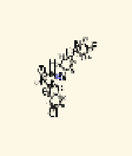 Cn1c(=O)[nH]/c(=N\c2ccc(Oc3ccc(F)cn3)cc2)n(Cc2ccc(Cl)cc2)c1=O